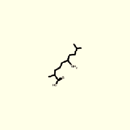 CC(C)CCC(N)CCCC(C)C(=O)O